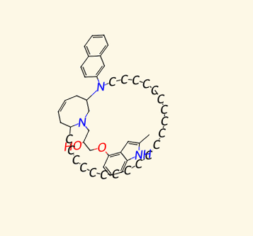 Cc1cc2c(OCC(O)CN3CC4CC=CCC3CCCCCCCCCCCCCCCCCCCCN4c3ccc4ccccc4c3)cccc2[nH]1